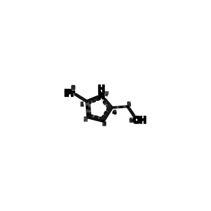 CC(C)c1ccc(CO)[nH]1